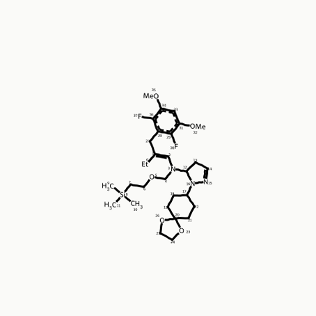 CC/C(=C\N(COCC[Si](C)(C)C)C1CC=NN1C1CCC2(CC1)OCCO2)Cc1c(F)c(OC)cc(OC)c1F